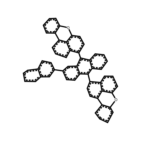 c1ccc2c(c1)Oc1cccc3c(-c4c5ccccc5c(-c5ccc6c7c(cccc57)-c5ccccc5O6)c5cc(-c6ccc7ccccc7c6)ccc45)ccc-2c13